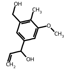 C=CC(O)c1cc(CO)c(C)c(OC)c1